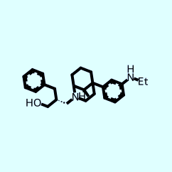 CCNc1cccc(C23CCCC([C@@H]2C)N(C[C@H](CO)Cc2ccccc2)CC3)c1